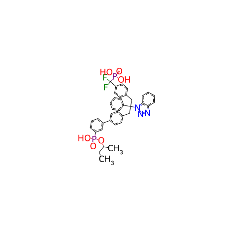 CCC(C)OP(=O)(O)c1cccc(-c2ccc(CC(Cc3ccc(C(F)(F)P(=O)(O)O)cc3)(c3ccccc3)n3nnc4ccccc43)cc2)c1